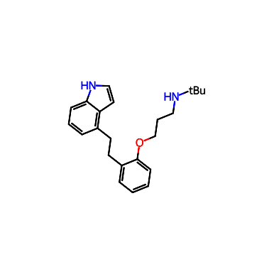 CC(C)(C)NCCCOc1ccccc1CCc1cccc2[nH]ccc12